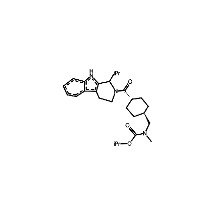 CC(C)OC(=O)N(C)C[C@H]1CC[C@H](C(=O)N2CCc3c([nH]c4ccccc34)C2C(C)C)CC1